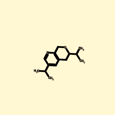 CC(C)c1cnc2c(c1)CC(C(C)C)OC2